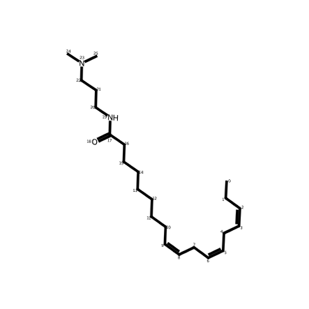 CC/C=C\C/C=C\C/C=C\CCCCCCCC(=O)NCCCN(C)C